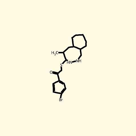 CC1CC2CCCCCC2CNNC1SCC(=O)c1ccc(Br)cc1